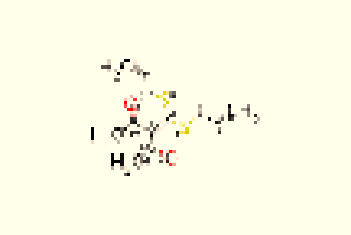 C=CCSC(SCC=C)=C(C(C)=O)C(C)=O